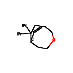 CC(C)C1(C(C)C)CC2C=CCC1CCOC2